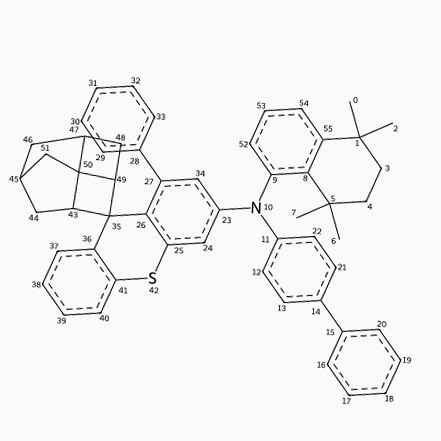 CC1(C)CCC(C)(C)c2c(N(c3ccc(-c4ccccc4)cc3)c3cc4c(c(-c5ccccc5)c3)C3(c5ccccc5S4)C4CC5CC6CC3C64C5)cccc21